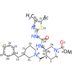 COC(=O)N1CC[C@@H](CN2CCCC(Cc3ccc(F)cc3)C2)[C@@H](NC(=O)Nc2nc(C)c(C(C)=O)s2)C1